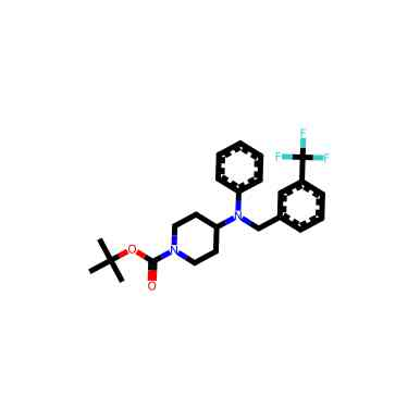 CC(C)(C)OC(=O)N1CCC(N(Cc2cccc(C(F)(F)F)c2)c2ccccc2)CC1